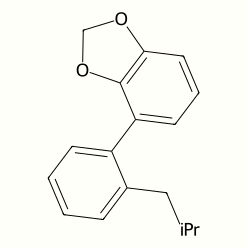 CC(C)Cc1ccccc1-c1cccc2c1OCO2